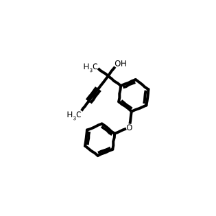 CC#CC(C)(O)c1cccc(Oc2ccccc2)c1